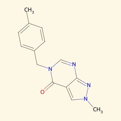 Cc1ccc(Cn2cnc3nn(C)cc3c2=O)cc1